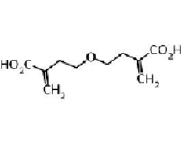 C=C(CCOCCC(=C)C(=O)O)C(=O)O